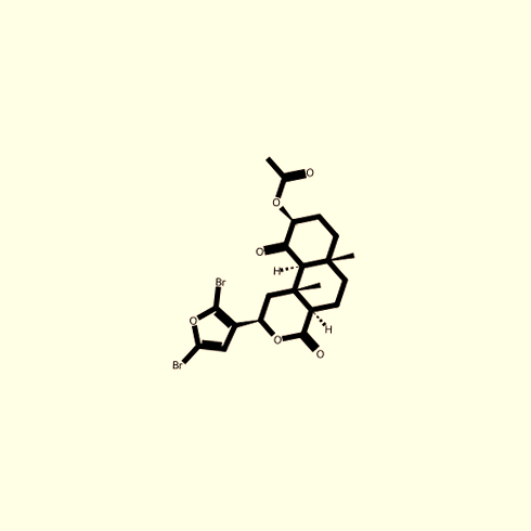 CC(=O)O[C@H]1CC[C@]2(C)CC[C@H]3C(=O)O[C@@H](c4cc(Br)oc4Br)C[C@]3(C)[C@H]2C1=O